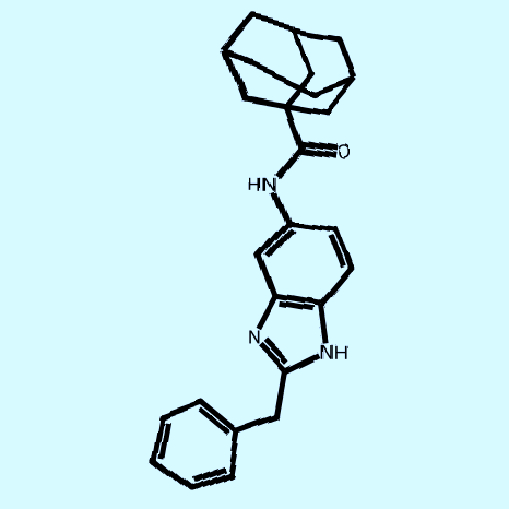 O=C(Nc1ccc2[nH]c(Cc3ccccc3)nc2c1)C12CC3CC(CC(C3)C1)C2